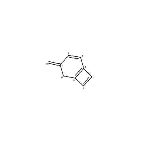 C=C1C=CC2=C(C=C2)C1